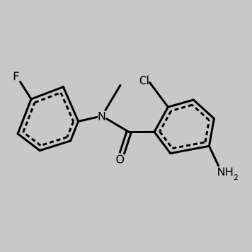 CN(C(=O)c1cc(N)ccc1Cl)c1cccc(F)c1